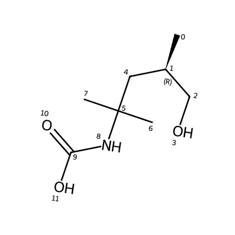 C[C@@H](CO)CC(C)(C)NC(=O)O